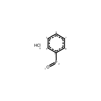 Cl.O=Pc1ccccc1